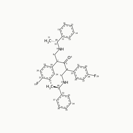 C[C@@H](NCC(C(=O)C(CN[C@H](C)c1ccccc1)c1ccc(F)cc1)c1ccc(F)cc1)c1ccccc1